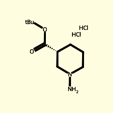 CC(C)(C)OC(=O)[C@@H]1CCCN(N)C1.Cl.Cl